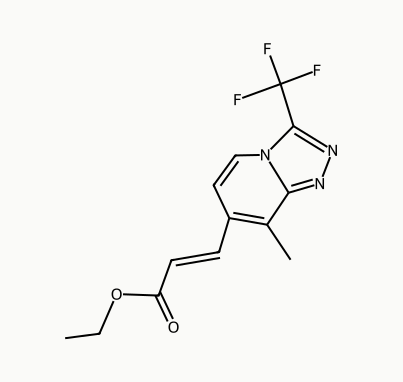 CCOC(=O)/C=C/c1ccn2c(C(F)(F)F)nnc2c1C